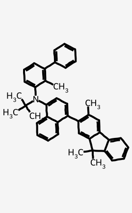 Cc1cc2c(cc1-c1ccc(N(c3cccc(-c4ccccc4)c3C)C(C)(C)C)c3ccccc13)C(C)(C)c1ccccc1-2